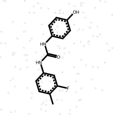 Cc1ccc(NC(=O)Nc2ccc(O)cc2)cc1F